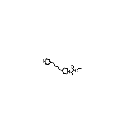 CCOC(=O)C(C)N1CCC(CCCCc2ccncc2)CC1